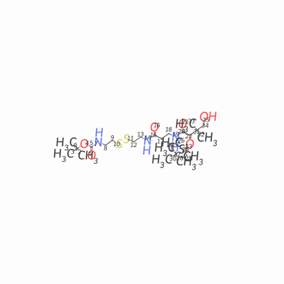 CC(C)(C)OC(=O)NCCSSCCNC(=O)CCNC(=O)[C@H](O[Si](C)(C)C(C)(C)C)C(C)(C)CO